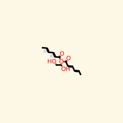 CC=CC=CC(=O)OC(=O)/C=C/C=C/C.OCCO